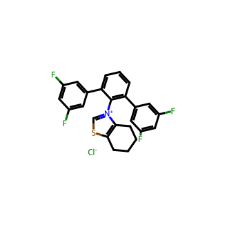 Fc1cc(F)cc(-c2cccc(-c3cc(F)cc(F)c3)c2-[n+]2csc3c2CCCC3)c1.[Cl-]